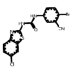 N#Cc1cc(NC(=O)Nc2nc3ccc(Cl)cc3s2)ccc1Br